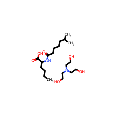 CCCCC(NC(=O)CCCCC(C)C)C(=O)O.OCCN(CCO)CCO